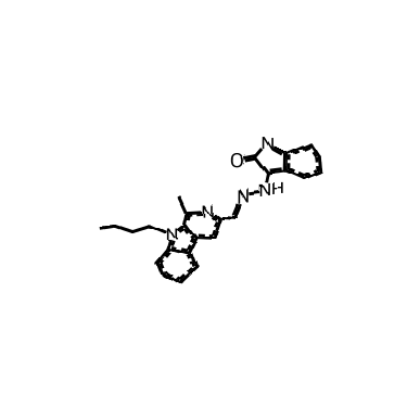 CCCCn1c2ccccc2c2cc(/C=N/NC3=c4ccccc4=NC3=O)nc(C)c21